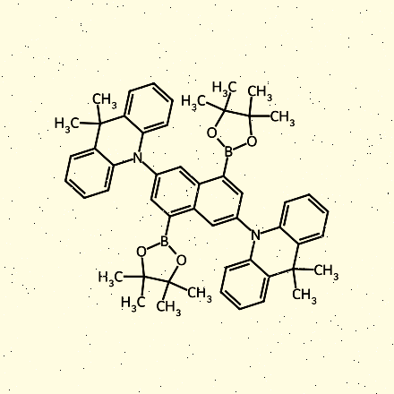 CC1(C)c2ccccc2N(c2cc(B3OC(C)(C)C(C)(C)O3)c3cc(N4c5ccccc5C(C)(C)c5ccccc54)cc(B4OC(C)(C)C(C)(C)O4)c3c2)c2ccccc21